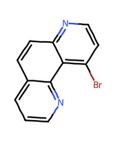 Brc1ccnc2ccc3cccnc3c12